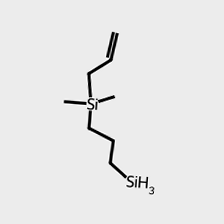 C=CC[Si](C)(C)CCC[SiH3]